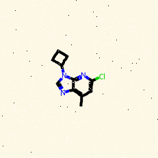 Cc1cc(Cl)nc2c1ncn2C1CCC1